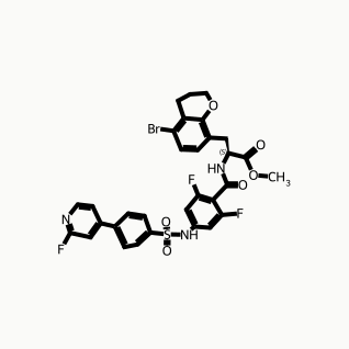 COC(=O)[C@H](Cc1ccc(Br)c2c1OCCC2)NC(=O)c1c(F)cc(NS(=O)(=O)c2ccc(-c3ccnc(F)c3)cc2)cc1F